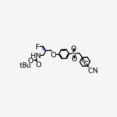 CC(C)(C)OC(=O)NC/C(=C\F)COc1ccc(S(=O)(=O)CC23CCC(C#N)(CC2)CC3)cc1